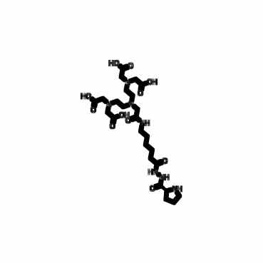 O=C(O)CN(CCN(CCN(CC(=O)O)CC(=O)O)CC(=O)NCCCCCC(=O)NNC(=O)[C@@H]1CCCN1)CC(=O)O